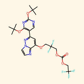 CC(C)(C)Oc1ncc(-c2cc(OCC(F)(F)COC(=O)OCC(F)(F)F)c3nccn3n2)c(OC(C)(C)C)n1